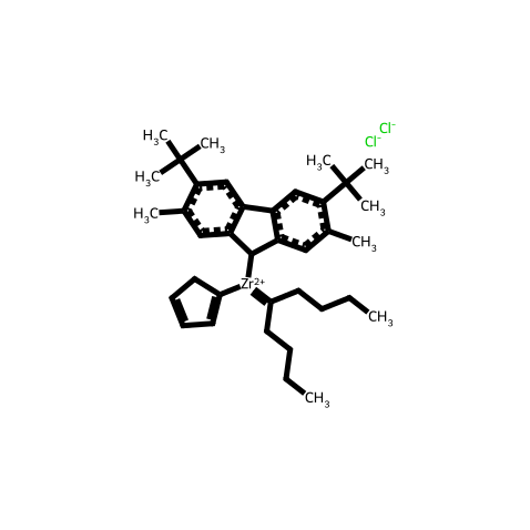 CCCC[C](CCCC)=[Zr+2]([C]1=CC=CC1)[CH]1c2cc(C)c(C(C)(C)C)cc2-c2cc(C(C)(C)C)c(C)cc21.[Cl-].[Cl-]